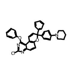 Clc1nc(Oc2ccccc2)c2c3c(ccc2n1)OC(c1ccccc1)(c1ccc(N2CCCCC2)cc1)C=C3